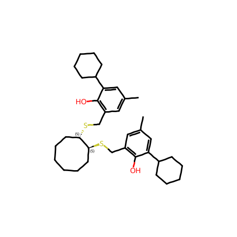 Cc1cc(CS[C@H]2CCCCCC[C@@H]2SCc2cc(C)cc(C3CCCCC3)c2O)c(O)c(C2CCCCC2)c1